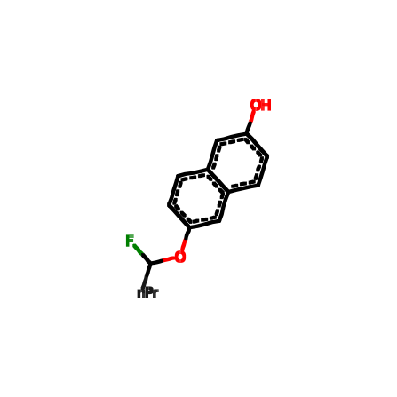 CCCC(F)Oc1ccc2cc(O)ccc2c1